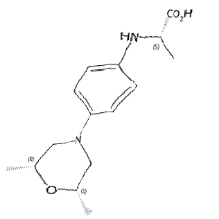 C[C@@H]1CN(c2ccc(N[C@@H](C)C(=O)O)cc2)C[C@H](C)O1